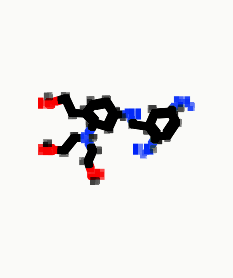 Nc1ccc(N)c(CNc2ccc(CCO)c(N(CCO)CCO)c2)c1